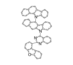 c1ccc2c(-n3c4ccccc4c4ccc5ccccc5c43)c3c4ccccc4n(-c4nc(-c5cccc6oc7ccccc7c56)nc5ccccc45)c3cc2c1